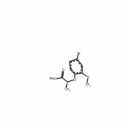 COC(=O)[C@H](C)Oc1ccc(Br)cc1OC(F)(F)F